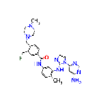 Cc1ccc(NC(=O)c2ccc(CN3CCN(C)CC3)c(CF)c2)cc1Nc1nccn1-c1cc(N)ncn1